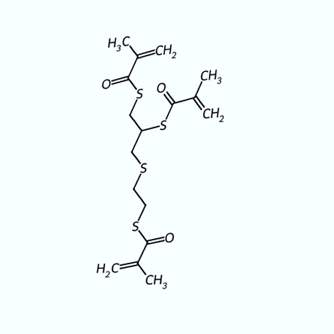 C=C(C)C(=O)SCCSCC(CSC(=O)C(=C)C)SC(=O)C(=C)C